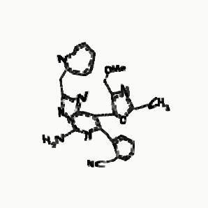 COCc1nc(C)oc1-c1c(-c2ccccc2C#N)nc(N)n2nc(Cc3ccccn3)nc12